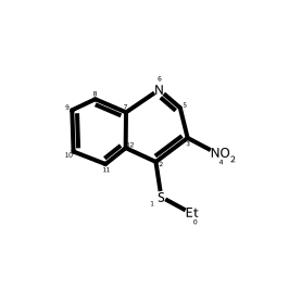 CCSc1c([N+](=O)[O-])cnc2ccccc12